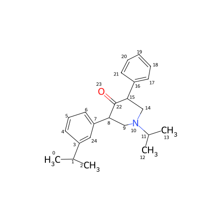 CC(C)c1cccc(C2CN(C(C)C)CC(c3ccccc3)C2=O)c1